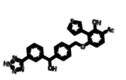 CC(=O)c1ccc(OCc2ccc(C(O)c3cccc(-c4nn[nH]n4)c3)cc2)c(-c2ccsc2)c1O